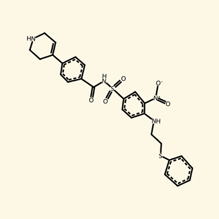 O=C(NS(=O)(=O)c1ccc(NCCSc2ccccc2)c([N+](=O)[O-])c1)c1ccc(C2=CCNCC2)cc1